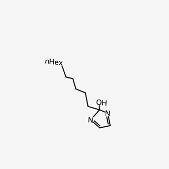 CCCCCCCCCCCC1(O)N=CC=N1